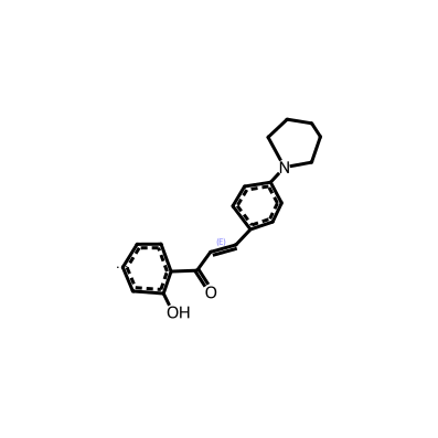 O=C(/C=C/c1ccc(N2CCCCC2)cc1)c1cc[c]cc1O